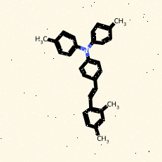 Cc1ccc(N(c2ccc(C)cc2)c2ccc(/C=C/c3ccc(C)cc3C)cc2)cc1